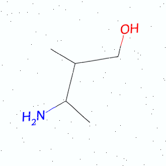 CC(N)C(C)CO